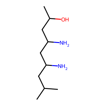 CC(C)CC(N)CC(N)CC(C)O